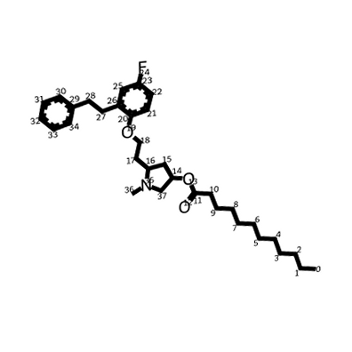 CCCCCCCCCCCC(=O)OC1CC(CCOc2ccc(F)cc2CCc2ccccc2)N(C)C1